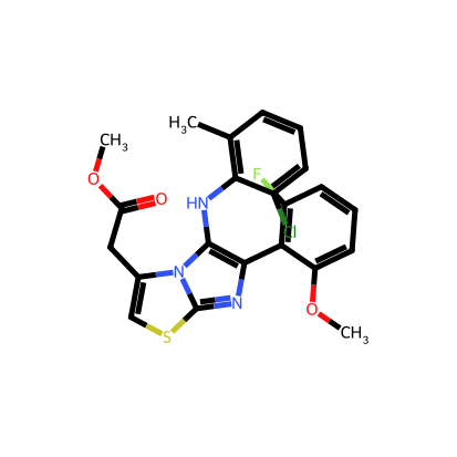 COC(=O)Cc1csc2nc(-c3c(F)cccc3OC)c(Nc3c(C)cccc3Cl)n12